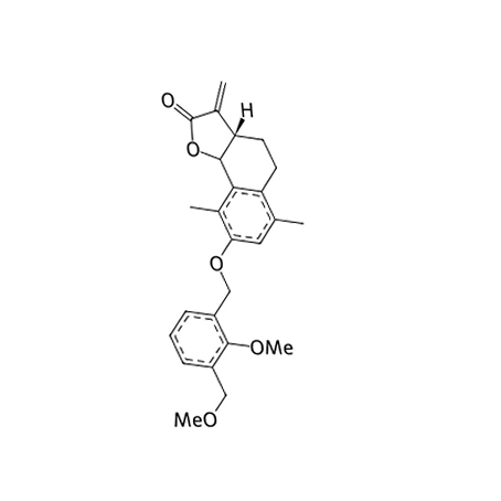 C=C1C(=O)OC2c3c(C)c(OCc4cccc(COC)c4OC)cc(C)c3CC[C@@H]12